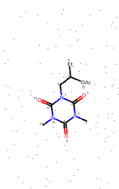 CCC(Cn1c(=O)n(C)c(=O)n(C)c1=O)OC(C)=O